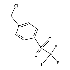 O=S(=O)(c1ccc(CCl)cc1)C(F)(F)F